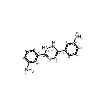 Nc1cccc(C2=NN=C(c3cccc(N)c3)NN2)c1